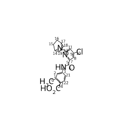 Cc1cc(NC(=O)c2cc(Cl)cc(N3C4CCC3CC4)n2)ccc1C(=O)O